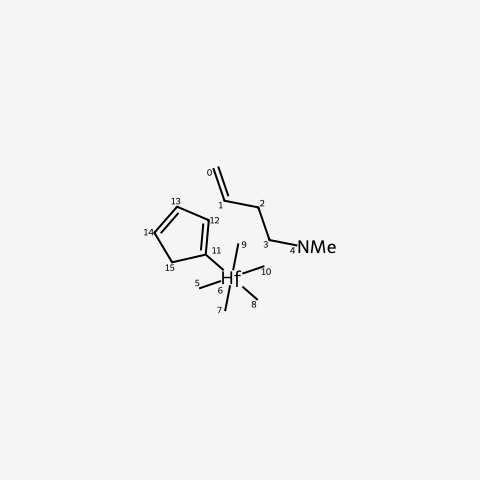 C=CCCNC.[CH3][Hf]([CH3])([CH3])([CH3])([CH3])[C]1=CC=CC1